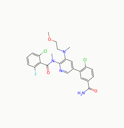 COCCN(C)c1cc(-c2cc(C(N)=O)ccc2Cl)cnc1N(C)C(=O)c1c(F)cccc1Cl